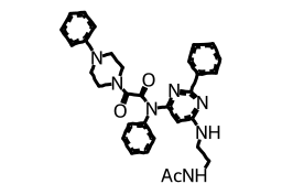 CC(=O)NCCNc1cc(N(C(=O)C(=O)N2CCN(c3ccccc3)CC2)c2ccccc2)nc(-c2ccccc2)n1